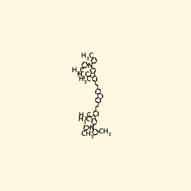 Cc1cccc(N(c2cccc(C)c2)c2ccc3c(c2)C(C)(C)c2cc(/C=C/c4ccc5c(ccc6cc(/C=C/c7ccc8c(c7)C(C)(C)c7cc(N(c9cccc(C)c9)c9cccc(C)c9)ccc7-8)ccc65)c4)ccc2-3)c1